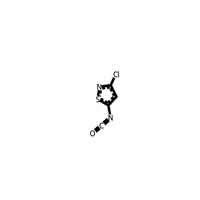 O=C=Nc1cc(Cl)ns1